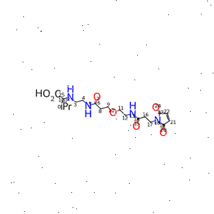 CC(C)[C@H](NCCNC(=O)CCOCCNC(=O)CCN1C(=O)C=CC1=O)C(=O)O